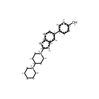 Oc1ccc(-c2cnc3nc(N4CCC(N5CCCCC5)CC4)sc3c2)cn1